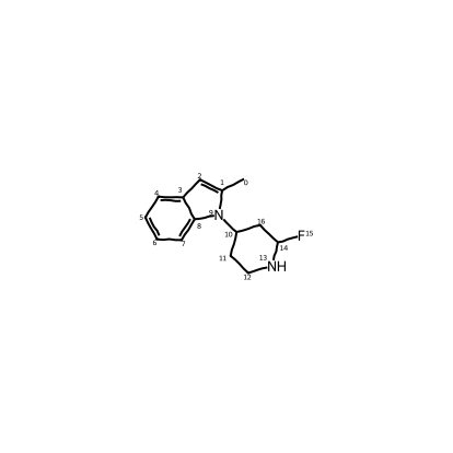 Cc1cc2ccccc2n1C1CCNC(F)C1